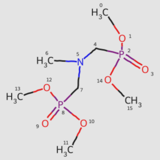 COP(=O)(CN(C)CP(=O)(OC)OC)OC